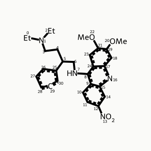 CCN(CC)CCC(CNc1c2ccc([N+](=O)[O-])cc2nc2cc(OC)c(OC)cc12)c1ccccc1